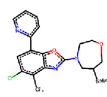 CNC1COCCN(c2nc3c(C(F)(F)F)c(Cl)cc(-c4ccccn4)c3o2)C1